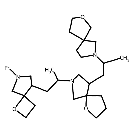 CC(C)N1CC(CC(C)N2CC(CC(C)N3CCC4(CCOC4)C3)C3(CCCO3)C2)C2(CCO2)C1